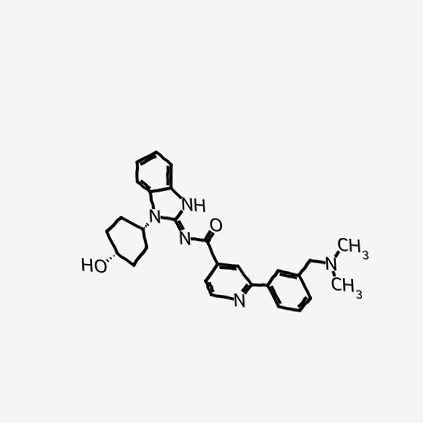 CN(C)Cc1cccc(-c2cc(C(=O)/N=c3\[nH]c4ccccc4n3[C@H]3CC[C@@H](O)CC3)ccn2)c1